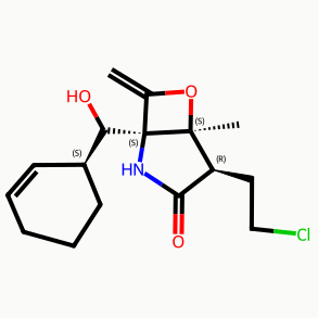 C=C1O[C@@]2(C)[C@@H](CCCl)C(=O)N[C@@]12C(O)[C@@H]1C=CCCC1